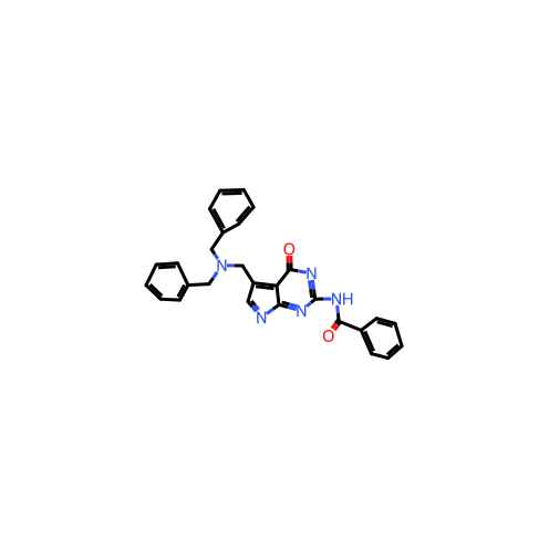 O=C1N=C(NC(=O)c2ccccc2)N=C2N=CC(CN(Cc3ccccc3)Cc3ccccc3)=C12